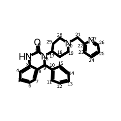 O=C1Nc2ccccc2C(c2ccccc2)N1C1CCN(Cc2ccccn2)CC1